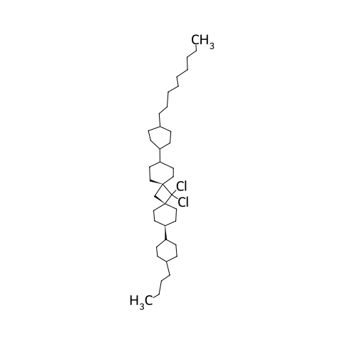 CCCCCCCCCC1CCC(C2CC[C@]3(CC2)C[C@@]2(CC[C@H](C4CCC(CCCC)CC4)CC2)C3(Cl)Cl)CC1